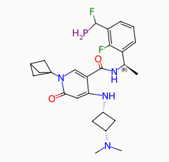 C[C@@H](NC(=O)c1cn(C23CC(C2)C3)c(=O)cc1N[C@H]1C[C@@H](N(C)C)C1)c1cccc(C(F)P)c1F